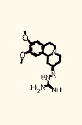 COc1cc2c(cc1OC)C1CC(=NNC(=N)N)CCN1CC2